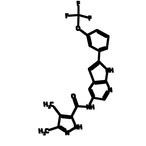 Cc1n[nH]c(C(=O)Nc2cnc3[nH]c(-c4cccc(OC(F)(F)F)c4)cc3c2)c1C